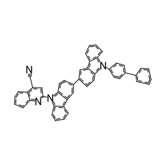 N#Cc1cc(-n2c3ccccc3c3cc(-c4ccc5c(c4)c4ccccc4n5-c4ccc(-c5ccccc5)cc4)ccc32)nc2ccccc12